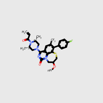 C=CC(=O)N1[C@H](C)CN(c2nc(=O)n3c4c(c(-c5ccc(F)cc5)c(C(F)(F)F)cc24)SCC(OCCC)C3)C[C@@H]1C